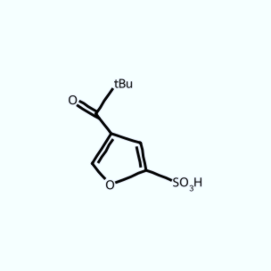 CC(C)(C)C(=O)c1coc(S(=O)(=O)O)c1